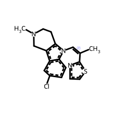 C/C(=C/n1c2c(c3cc(Cl)ccc31)CN(C)CC2)c1nccs1